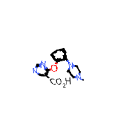 CN1CCN(c2ccccc2Oc2ncncc2C(=O)O)CC1